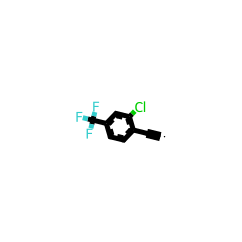 [C]#Cc1ccc(C(F)(F)F)cc1Cl